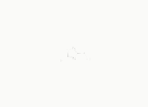 Oc1nc(CCl)ns1